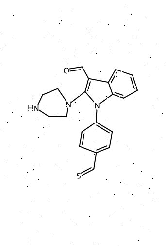 O=Cc1c(N2CCNCC2)n(-c2ccc(C=S)cc2)c2ccccc12